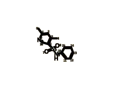 Cc1cc(C)c(S(=O)(=O)Nc2ccccc2)cn1